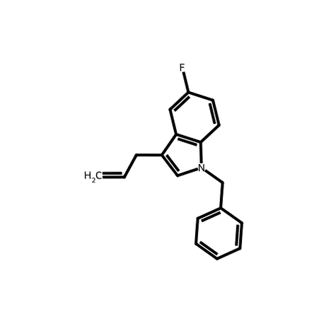 C=CCc1cn(Cc2ccccc2)c2ccc(F)cc12